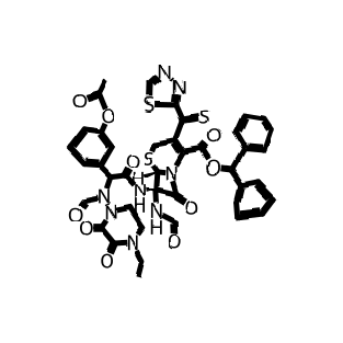 CCN1CCN(N(C=O)C(C(=O)N[C@]2(NC=O)C(=O)N3C(C(=O)OC(c4ccccc4)c4ccccc4)=C(C(=S)c4nncs4)CS[C@H]32)c2cccc(OC(C)=O)c2)C(=O)C1=O